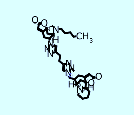 CCCCCN1C[C@]23C[C@H]1[C@H](n1cc(CCC4=C/[N+](=C/C5CC6=CC(=O)O[C@@]67C[C@@H]5N5CCCC[C@@H]57)N=N4)nn1)CC2=CC(=O)O3